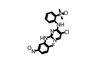 CP(C)(=O)c1ccccc1Nc1nc(Nc2cc(N=O)ccc2F)ncc1Cl